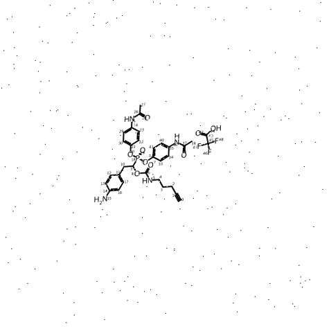 C#CCCCNC(=O)OC(Cc1ccc(N)cc1)P(=O)(Oc1ccc(NC(C)=O)cc1)Oc1ccc(NC(C)=O)cc1.O=C(O)C(F)(F)F